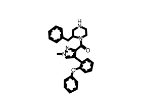 Cn1cc(-c2ccccc2Oc2ccccc2)c(C(=O)N2CCNCC2Cc2ccccc2)n1